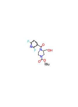 CC(C)(C)OC(=O)N1CCN(C(=O)c2ccc(F)nc2F)C(CO)C1